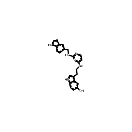 Oc1ccc2[nH]cc(CCNc3ccnc(NCc4ccc5[nH]ccc5c4)n3)c2c1